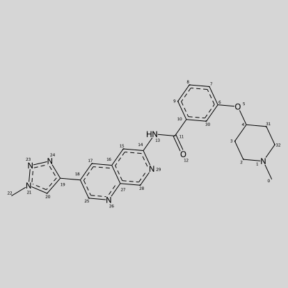 CN1CCC(Oc2cccc(C(=O)Nc3cc4cc(-c5cn(C)nn5)cnc4cn3)c2)CC1